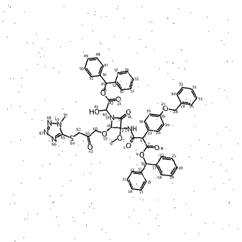 CO[C@@]1(NC(=O)C(C(=O)OC(c2ccccc2)c2ccccc2)c2ccc(OCc3ccccc3)cc2)C(=O)N(C(O)C(=O)OC(c2ccccc2)c2ccccc2)[C@@H]1OCC(=O)CSc1nnnn1C